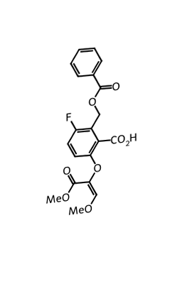 CO/C=C(/Oc1ccc(F)c(COC(=O)c2ccccc2)c1C(=O)O)C(=O)OC